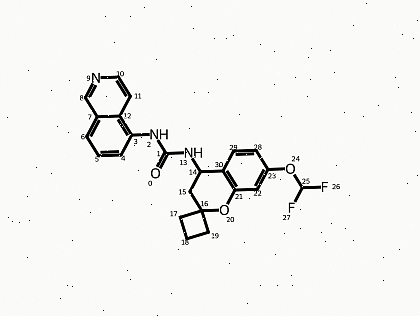 O=C(Nc1cccc2cnccc12)NC1CC2(CCC2)Oc2cc(OC(F)F)ccc21